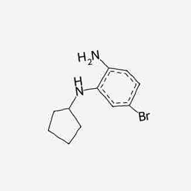 Nc1ccc(Br)cc1NC1CCCC1